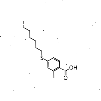 CCCCCCCSc1ccc(C(=O)O)c(C)c1